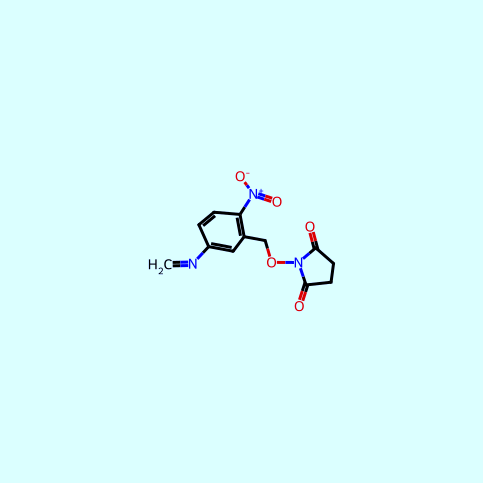 C=Nc1ccc([N+](=O)[O-])c(CON2C(=O)CCC2=O)c1